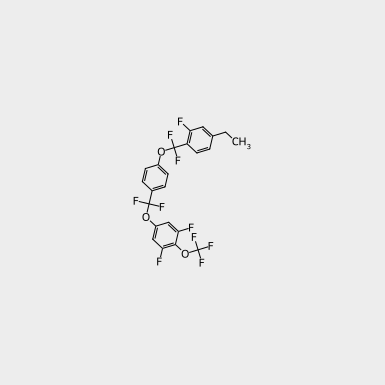 CCc1ccc(C(F)(F)Oc2ccc(C(F)(F)Oc3cc(F)c(OC(F)(F)F)c(F)c3)cc2)c(F)c1